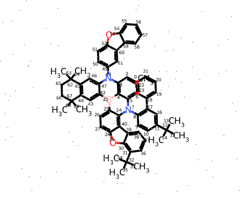 Cc1cc2c3c(c1)N(c1ccc(C(C)(C)C)cc1-c1ccccc1)c1c(ccc4oc5c(C(C)(C)C)cccc5c14)B3c1cc3c(cc1N2c1ccc2oc4ccccc4c2c1)C(C)(C)CCC3(C)C